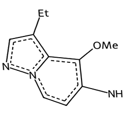 CCc1cnn2ccc(N)c(OC)c12